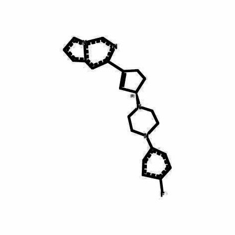 Fc1ccc(N2CCN([C@H]3C=C(c4cc5cccn5cn4)CC3)CC2)cc1